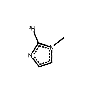 [2H]c1nccn1C